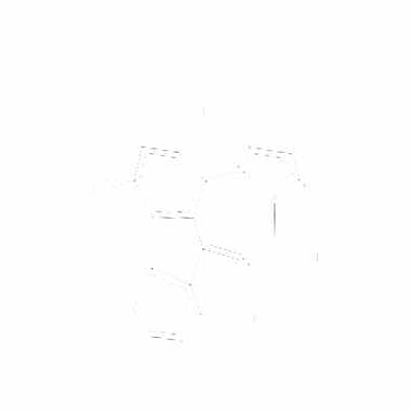 CC(=O)O.Cc1cnc2n1-c1ccc(C(F)(F)F)cc1C(c1ccccc1)=NC2O